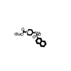 CC(C)(C)OC(=O)N1CCC(NS(=O)(=O)c2ccc3ccccc3c2)CC1